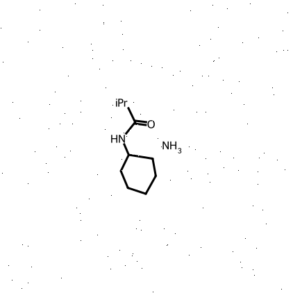 CC(C)C(=O)NC1CCCCC1.N